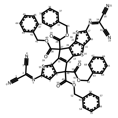 N#CC(C#N)=Nc1cc2c(s1)C1=C(c3sc4cc(N=C(C#N)C#N)sc4c3C1(C(=O)OCc1ccccc1)C(=O)OCc1ccccc1)C2(C(=O)OCc1ccccc1)C(=O)OCc1ccccc1